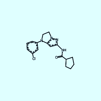 O=C(Nc1cc2n(n1)CCN2c1cccc(Cl)c1)C1CCCC1